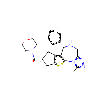 Cc1nnc2n1-c1sc3c(c1[C@H](c1ccccc1)NC2)C[C@@H](C(=O)N1CCOCC1)C3